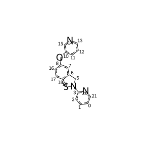 c1ccc(N2Cc3cc(Oc4cccnc4)ccc3S2)nc1